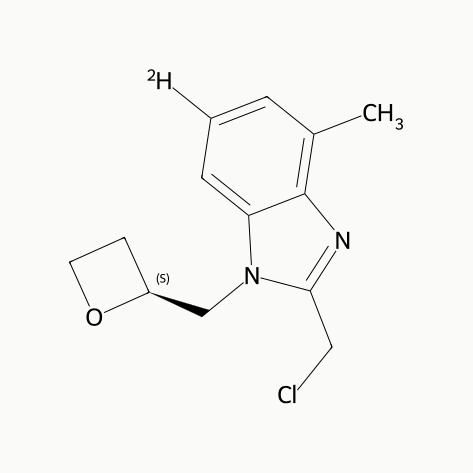 [2H]c1cc(C)c2nc(CCl)n(C[C@@H]3CCO3)c2c1